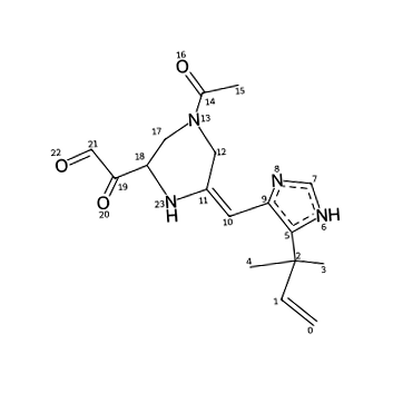 C=CC(C)(C)c1[nH]cnc1C=C1CN(C(C)=O)CC(C(=O)C=O)N1